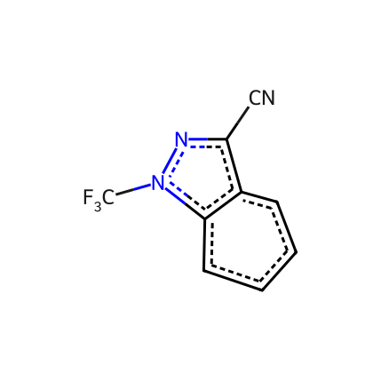 N#Cc1nn(C(F)(F)F)c2ccccc12